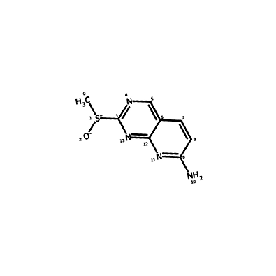 C[S+]([O-])c1ncc2ccc(N)nc2n1